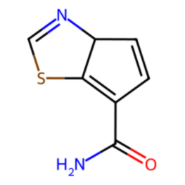 NC(=O)C1=C2SC=NC2C=C1